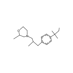 CCC(C)(C)c1ccc(CC(C)CN2CCOC(C)C2)cc1